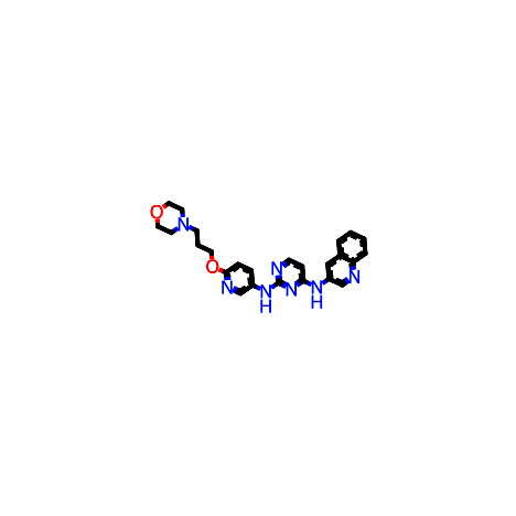 c1ccc2ncc(Nc3ccnc(Nc4ccc(OCCCN5CCOCC5)nc4)n3)cc2c1